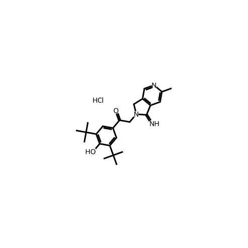 Cc1cc2c(cn1)CN(CC(=O)c1cc(C(C)(C)C)c(O)c(C(C)(C)C)c1)C2=N.Cl